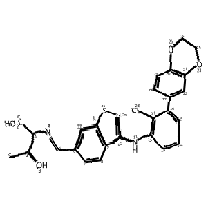 CC(O)C(N=Cc1ccc2c(Nc3cccc(-c4ccc5c(c4)OCCO5)c3Cl)nsc2c1)C(=O)O